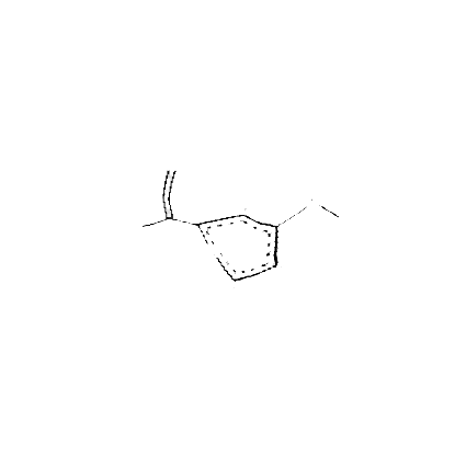 C=C(N)c1cc(NC)ccn1